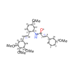 COc1cccc(/C=C/C(=O)Nc2cc(OC)ccc2/C=C/c2cc(OC)c(OC)c(OC)c2)c1